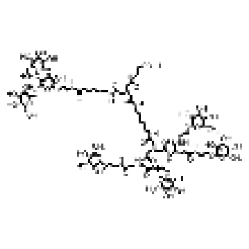 C[C@@H]1O[C@@H](OCCNC(=O)CC[C@H](NC(=O)CN(CC(=O)NCCCCCNC(=O)CN(CC(=O)NCCCCCC(=O)NCCO[C@H]2O[C@H](CO[C@H]3O[C@H](CO)[C@@H](O)[C@H](O)[C@@H]3O)[C@@H](O)[C@H](O[C@H]3O[C@H](CO)[C@@H](O)[C@H](O)[C@@H]3O)[C@@H]2O)CC(=O)NCCC(=O)O)CC(=O)N[C@@H](CCC(=O)NCCO[C@@H]2O[C@@H](C)[C@@H](O)[C@@H](O)[C@@H]2O)C(=O)NCCO[C@@H]2O[C@@H](C)[C@@H](O)[C@@H](O)[C@@H]2O)C(=O)NCCO[C@@H]2O[C@@H](C)[C@@H](O)[C@@H](O)[C@@H]2O)[C@@H](O)[C@H](O)[C@@H]1O